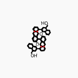 OCc1cc(-c2ccccc2)c(Oc2ccc3ccccc3c2-c2c(Oc3c(-c4ccccc4)cc(CO)c4ccccc34)ccc3ccccc23)c2ccccc12